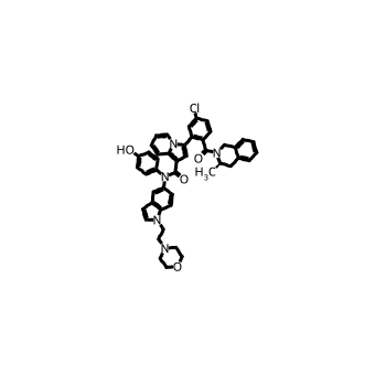 C[C@@H]1Cc2ccccc2CN1C(=O)c1ccc(Cl)cc1-c1cc(C(=O)N(c2ccc(O)cc2)c2ccc3c(ccn3CCN3CCOCC3)c2)c2ccccn12